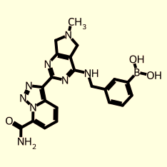 CN1Cc2nc(-c3nnn4c(C(N)=O)cccc34)nc(NCc3cccc(B(O)O)c3)c2C1